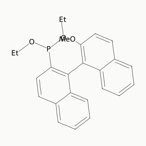 CCOP(OCC)c1ccc2ccccc2c1-c1c(OC)ccc2ccccc12